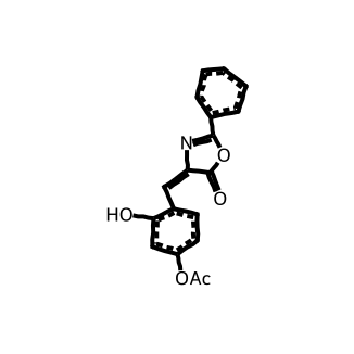 CC(=O)Oc1ccc(C=C2N=C(c3ccccc3)OC2=O)c(O)c1